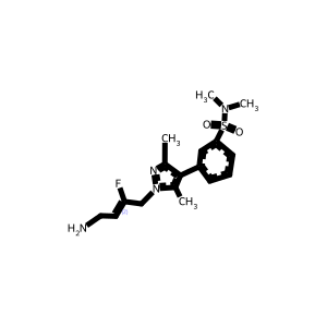 Cc1nn(C/C(F)=C/CN)c(C)c1-c1cccc(S(=O)(=O)N(C)C)c1